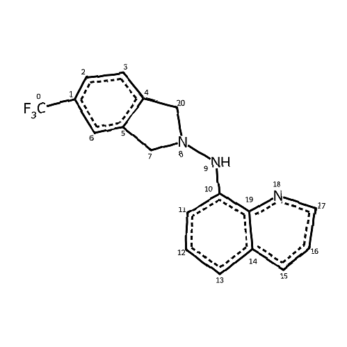 FC(F)(F)c1ccc2c(c1)CN(Nc1cccc3cccnc13)C2